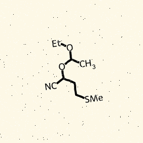 CCOC(C)OC(C#N)CCSC